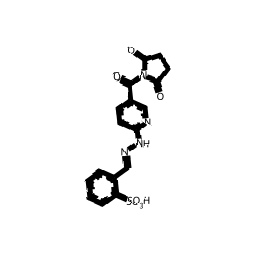 O=C1CCC(=O)N1C(=O)c1ccc(NN=Cc2ccccc2S(=O)(=O)O)nc1